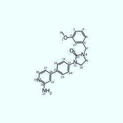 COc1cccc(CN2CCN(c3ccc(-c4ccnc(N)c4)cc3)C2=O)c1